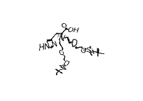 CC(C)(C)[Si](C)(C)OCCOCCN(CCOCCO[Si](C)(C)C(C)(C)C)[C@@H](Cc1c[nH]cn1)C(=O)O